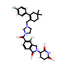 CC1(C)CCC(CN2CCN(C(=O)c3ccc4c(c3F)CN(C3CCC(=O)NC3=O)C4=O)C2)=C(c2ccc(Cl)cc2)C1